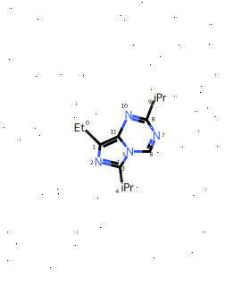 CCc1nc(C(C)C)n2cnc(C(C)C)nc12